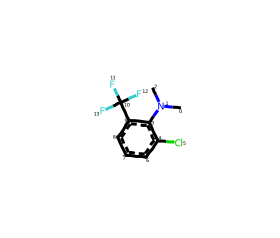 CN(C)c1c(Cl)c[c]cc1C(F)(F)F